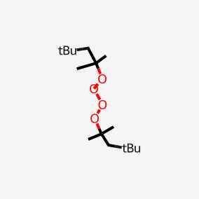 CC(C)(C)CC(C)(C)OOOOC(C)(C)CC(C)(C)C